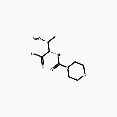 CCC(=O)[C@@H](NC(=O)N1CCOCC1)[C@@H](C)OC